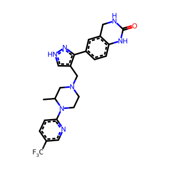 CC1CN(Cc2c[nH]nc2-c2ccc3c(c2)CNC(=O)N3)CCN1c1ccc(C(F)(F)F)cn1